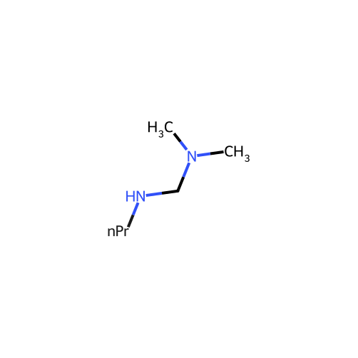 [CH2]CCNCN(C)C